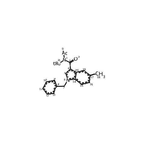 CC(=O)N(C(=O)c1cn(Cc2ccccc2)c2ccc(C)cc12)C(C)(C)C